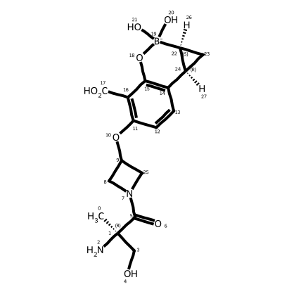 C[C@@](N)(CO)C(=O)N1CC(Oc2ccc3c(c2C(=O)O)O[B-](O)(O)[C@H]2C[C@@H]32)C1